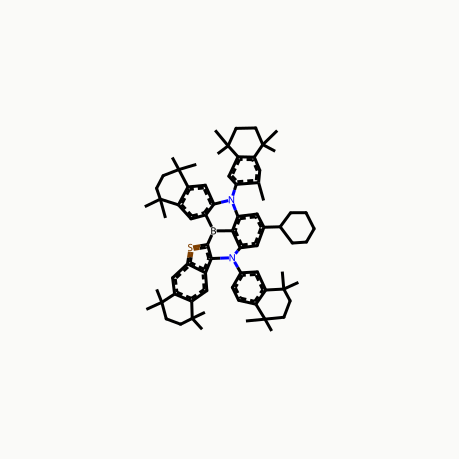 Cc1cc2c(cc1N1c3cc4c(cc3B3c5sc6cc7c(cc6c5N(c5ccc6c(c5)C(C)(C)CCC6(C)C)c5cc(C6CCCCC6)cc1c53)C(C)(C)CCC7(C)C)C(C)(C)CCC4(C)C)C(C)(C)CCC2(C)C